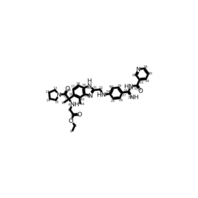 CCOC(=O)CNC(C)(C(=O)N1CCCC1)c1ccc2[nH]c(CNc3ccc(C(=N)NC(=O)c4cccnc4)cc3)nc2c1C